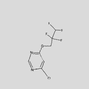 FC(F)C(F)(F)COc1cc(Cl)ncn1